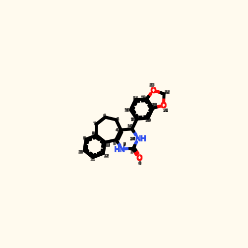 O=C1NC2=C(CCCc3ccccc32)C(c2ccc3c(c2)OCO3)N1